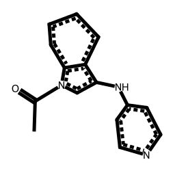 CC(=O)n1cc(Nc2ccncc2)c2ccccc21